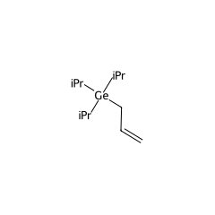 C=C[CH2][Ge]([CH](C)C)([CH](C)C)[CH](C)C